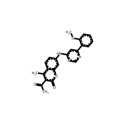 COc1ccccc1-c1cc(Nc2ccc3c(C)c(C(C)=O)c(=O)oc3c2)ncn1